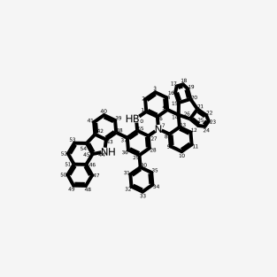 B1c2cccc3c2N(c2ccccc2C32c3ccccc3-c3ccccc32)c2cc(-c3ccccc3)cc(-c3cccc4c3[nH]c3c5ccccc5ccc43)c21